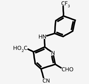 N#Cc1cc(C(=O)O)c(Nc2cccc(C(F)(F)F)c2)nc1C=O